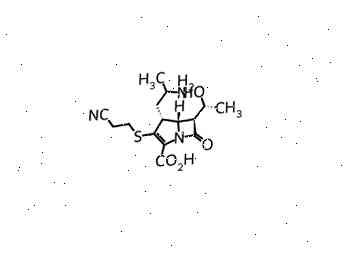 CC(N)C[C@H]1C(SCCC#N)=C(C(=O)O)N2C(=O)[C@H]([C@@H](C)O)[C@@H]12